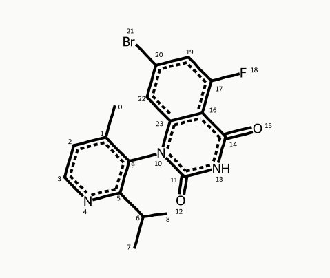 Cc1ccnc(C(C)C)c1-n1c(=O)[nH]c(=O)c2c(F)cc(Br)cc21